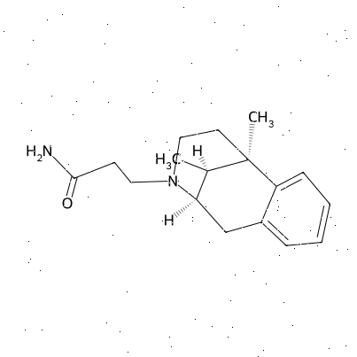 C[C@@H]1[C@H]2Cc3ccccc3[C@]1(C)CCN2CCC(N)=O